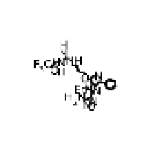 CCn1c(-c2nonc2N)nc2c(-c3ccccc3)ncc(OCCCCNC(=N)NOC(=O)C(F)(F)F)c21